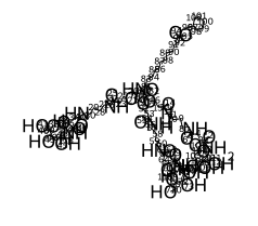 NC(=O)[C@H](CC(=O)NCCCCNC(=O)CCOCC(COCCC(=O)NCCCCNC(=O)C[C@@H]1O[C@H]2O[C@H](CO)[C@H](O)[C@H](O)[C@H]2NC1=O)(COCCC(=O)NCCCCNC(=O)C[C@@H]1O[C@H]2O[C@H](CO)[C@H](O)[C@H](O)[C@H]2NC1=O)NC(=O)CCCCCCCCCCC(=O)OCc1ccccc1)O[C@@H]1C[C@@H](O)[C@@H](O)[C@@H](CO)O1